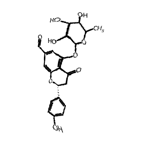 CC1OC(Oc2cc(C=O)cc3c2C(=O)C[C@H](c2ccc(O)cc2)O3)C(O)C(O)C1O